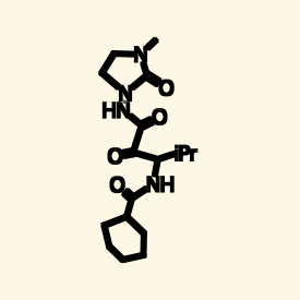 CC(C)C(NC(=O)C1CCCCC1)C(=O)C(=O)NN1CCN(C)C1=O